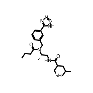 CCCC(=O)N(Cc1cccc(-c2nnn[nH]2)c1)[C@@H](C)CNC(=O)C(CS)CC(C)C